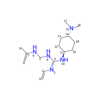 C=C/N=C(\NCNC(=C)C)N[C@H]1CC[C@H](N(C)C)CC1